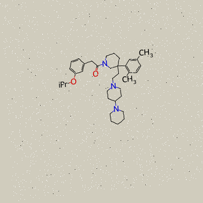 Cc1ccc(C)c(C2(CCN3CCC(N4CCCCC4)CC3)CCCN(C(=O)Cc3cccc(OC(C)C)c3)C2)c1